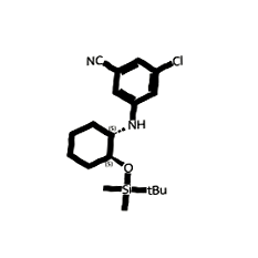 CC(C)(C)[Si](C)(C)O[C@H]1CCCC[C@@H]1Nc1cc(Cl)cc(C#N)c1